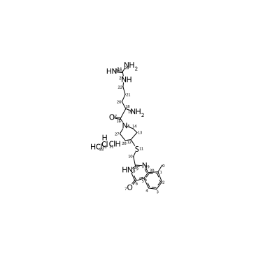 Cc1cccc2c(=O)[nH]c(CSC3CCN(C(=O)C(N)CCCNC(=N)N)CC3)nc12.Cl.Cl.Cl